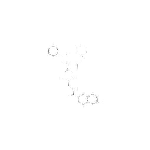 CC[C@H](CNC(=O)[C@H](CCCN1CCCCC1)NC(C)CNC(=O)c1ccc2cc(Cl)ccc2c1)c1ccccc1